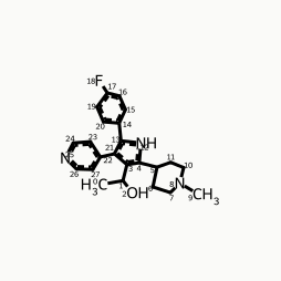 CC(O)c1c(C2CCN(C)CC2)[nH]c(-c2ccc(F)cc2)c1-c1ccncc1